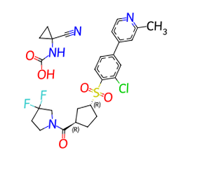 Cc1cc(-c2ccc(S(=O)(=O)[C@@H]3CC[C@@H](C(=O)N4CCC(F)(F)C4)C3)c(Cl)c2)ccn1.N#CC1(NC(=O)O)CC1